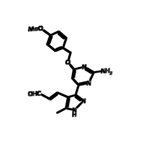 COc1ccc(COc2cc(-c3n[nH]c(C)c3C=CC=O)nc(N)n2)cc1